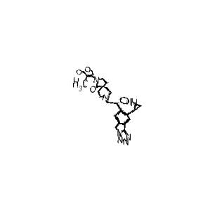 CC1=C(N2CCC3(CCN(C[C@H](O)c4cc5c(cc4C4CC4)-c4nnnn4C5)CC3)C2=O)COC1=O